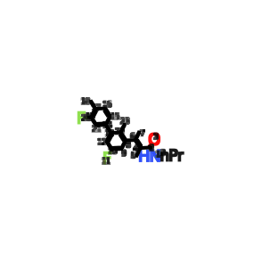 CCCNC(=O)/C(C)=C(\C)c1cc(F)cc(-c2ccc(C)c(F)c2)c1C